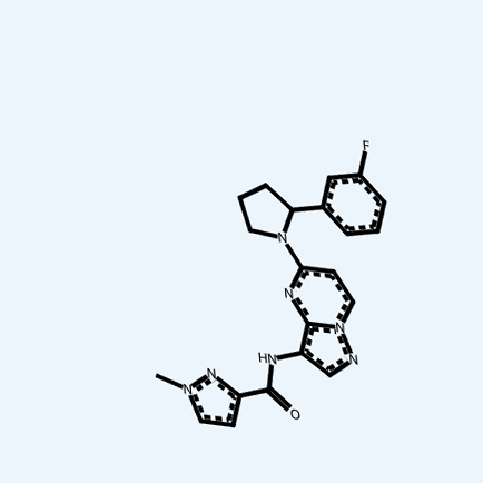 Cn1ccc(C(=O)Nc2cnn3ccc(N4CCCC4c4cccc(F)c4)nc23)n1